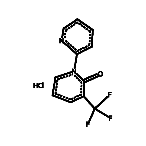 Cl.O=c1c(C(F)(F)F)cccn1-c1ccccn1